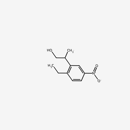 [CH2]C(CO)c1cc([N+](=O)[O-])ccc1CC